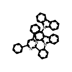 c1ccc(-c2cc(-c3ccccc3)nc(-c3ccccc3-n3c4ccccc4c4c(-n5c6ccccc6c6ccccc65)cccc43)n2)cc1